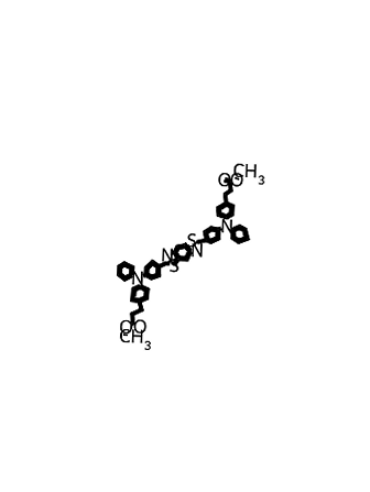 COC(=O)CCc1ccc(N(c2ccccc2)c2ccc(-c3nc4cc5sc(-c6ccc(N(c7ccccc7)c7ccc(CCC(=O)OC)cc7)cc6)nc5cc4s3)cc2)cc1